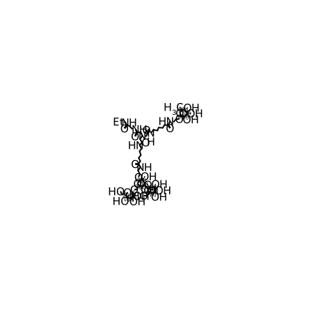 CCNC(=O)CCNC(=O)CN(CC(=O)NCCCCCC(=O)NCCO[C@@H]1O[C@@H](C)[C@@H](O)[C@@H](O)[C@@H]1O)CC(=O)NCCCCCC(=O)NCCO[C@H]1O[C@H](CO[C@H]2O[C@H](CO)[C@@H](O)[C@H](O)[C@@H]2O)[C@@H](O)[C@H](O[C@H]2O[C@H](CO)[C@@H](O)[C@H](O)[C@@H]2O)[C@@H]1O